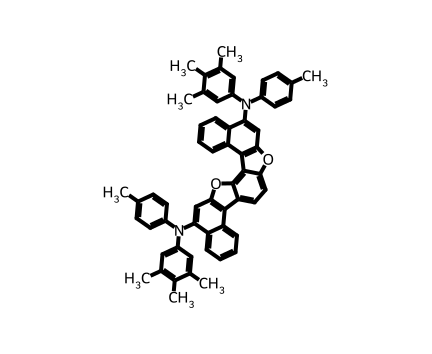 Cc1ccc(N(c2cc(C)c(C)c(C)c2)c2cc3oc4c(ccc5oc6cc(N(c7ccc(C)cc7)c7cc(C)c(C)c(C)c7)c7ccccc7c6c54)c3c3ccccc23)cc1